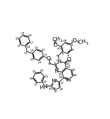 COc1ccc(Cn2c(COc3ccc(Cc4ccccc4)cc3)nc3c(-c4csc(Nc5ccccc5)n4)nccc3c2=O)c(OC)c1